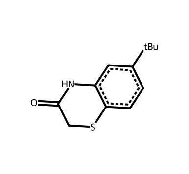 CC(C)(C)c1ccc2c(c1)NC(=O)CS2